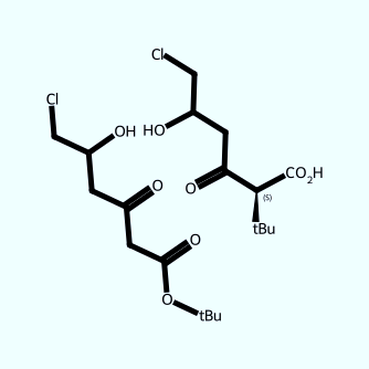 CC(C)(C)OC(=O)CC(=O)CC(O)CCl.CC(C)(C)[C@H](C(=O)O)C(=O)CC(O)CCl